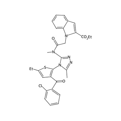 CCOC(=O)c1cc2ccccc2n1CC(=O)N(C)c1nnc(C)n1-c1sc(CC)cc1C(=O)c1ccccc1Cl